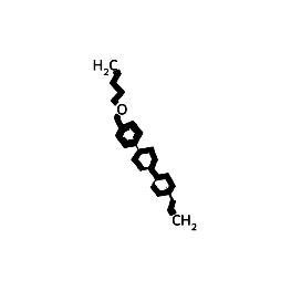 C=CCCCOCc1ccc([C@H]2CC[C@H]([C@H]3CC[C@H](CC=C)CC3)CC2)cc1